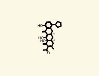 C=C1C2=C(O)[C@@]3(O)C(=C)C(C(C)=O)=C(C)C[C@@]3(C)C[C@@]2(C)Cc2c(C3CCCC3)ccc(O)c21